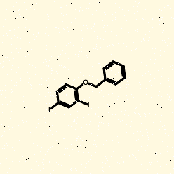 Ic1ccc(OCc2ccccc2)c(I)c1